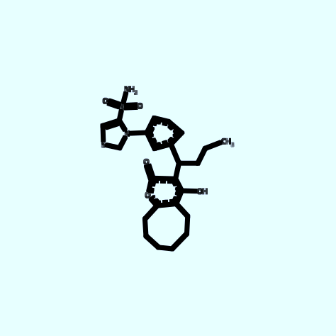 CCCC(c1cccc(N2CSC=C2S(N)(=O)=O)c1)c1c(O)c2c(oc1=O)CCCCCC2